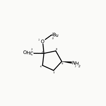 CCC(C)OC1(C=O)CC[C@H](N)C1